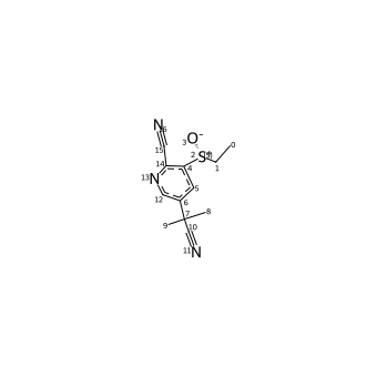 CC[S@@+]([O-])c1cc(C(C)(C)C#N)cnc1C#N